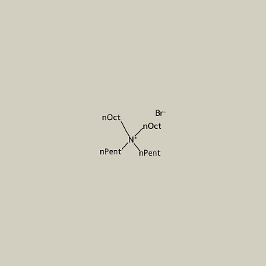 CCCCCCCC[N+](CCCCC)(CCCCC)CCCCCCCC.[Br-]